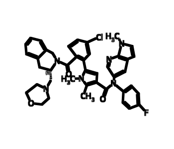 Cc1c(C(=O)N(c2ccc(F)cc2)c2cnc3c(ccn3C)c2)cc(-c2cc(Cl)ccc2C(=O)N2Cc3ccccc3C[C@H]2CN2CCOCC2)n1C